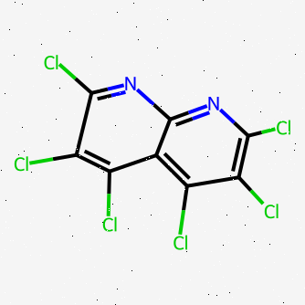 Clc1nc2nc(Cl)c(Cl)c(Cl)c2c(Cl)c1Cl